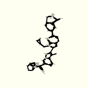 Cc1c(-c2cc3ccc(-c4ccc5c(c4)C(=O)NC5)nc3n2CC2CC2)nn2cc(C(=O)N3CC4CCC3[C@@H]4N)ccc12